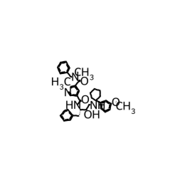 COc1cccc(C2(NC[C@@H](O)[C@H](Cc3ccccc3)NC(=O)c3cncc(C(=O)N(C)[C@H](C)c4ccccc4)c3)CCCCC2)c1